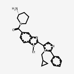 CCn1c(-c2cnc(-c3ccccc3)n2CC2CC2)nc2cc(C(=O)N3CCC[C@@H](N)C3)ccc21